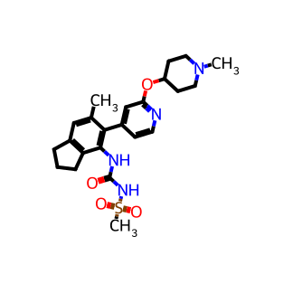 Cc1cc2c(c(NC(=O)NS(C)(=O)=O)c1-c1ccnc(OC3CCN(C)CC3)c1)CCC2